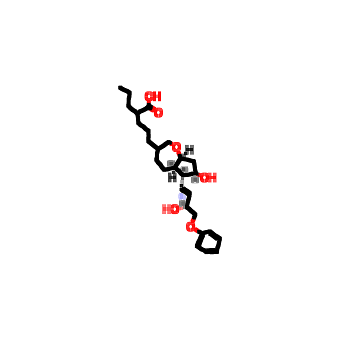 CCCC(CCCC1CC[C@@H]2[C@@H](/C=C/[C@@H](O)COc3ccccc3)[C@H](O)C[C@@H]2OC1)C(=O)O